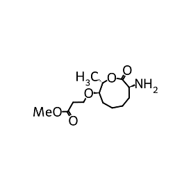 COC(=O)CCO[C@@H]1CCCC[C@H](N)C(=O)O[C@H]1C